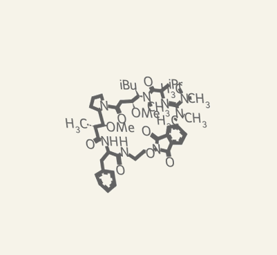 CC[C@H](C)[C@@H]([C@@H](CC(=O)N1CCCC1[C@H](OC)[C@@H](C)C(=O)NC(Cc1ccccc1)C(=O)NCCON1C(=O)c2ccccc2C1=O)OC)N(C)C(=O)C(N=C(N(C)C)N(C)C)C(C)C